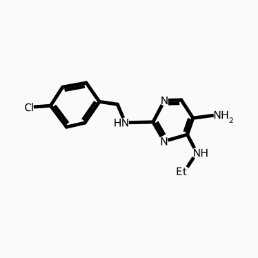 [CH2]CNc1nc(NCc2ccc(Cl)cc2)ncc1N